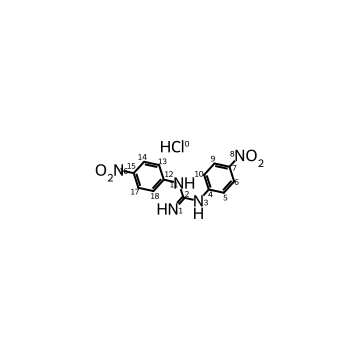 Cl.N=C(Nc1ccc([N+](=O)[O-])cc1)Nc1ccc([N+](=O)[O-])cc1